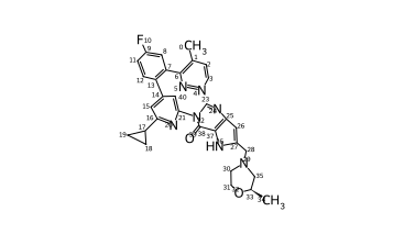 Cc1ccnnc1-c1cc(F)ccc1-c1cc(C2CC2)nc(-n2cnc3cc(CN4CCO[C@H](C)C4)[nH]c3c2=O)c1